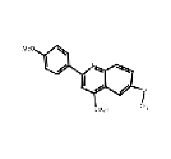 COc1ccc(-c2cc(C(=O)O)c3cc(OC(F)(F)F)ccc3n2)cc1